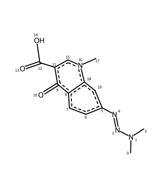 CN(C)N=Nc1ccc2c(=O)c(C(=O)O)cn(C)c2c1